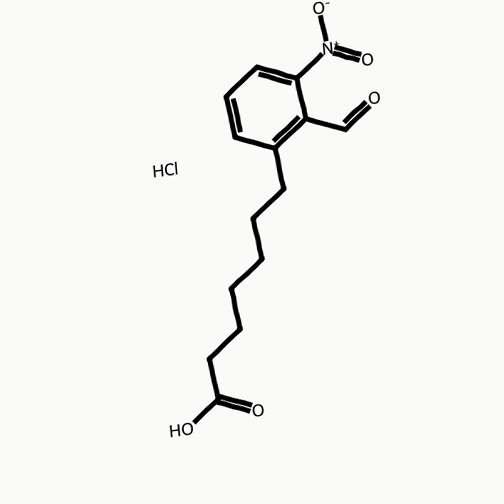 Cl.O=Cc1c(CCCCCCC(=O)O)cccc1[N+](=O)[O-]